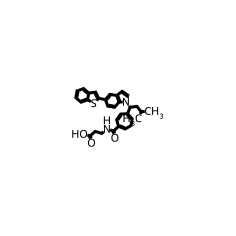 CC(C)CC(C1=CCC=C(C(=O)NCCC(=O)O)C=C1)n1ccc2cc(-c3cc4ccccc4s3)ccc21